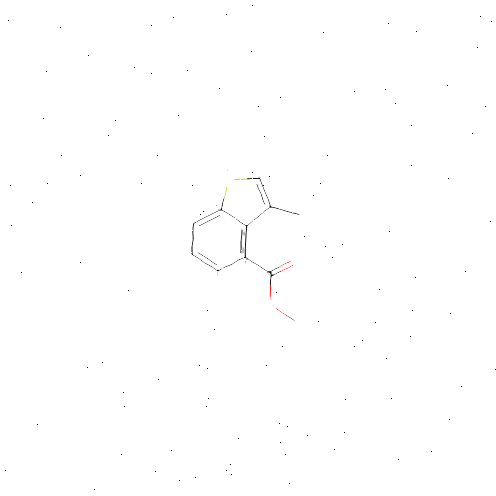 COC(=O)c1cccc2scc(C)c12